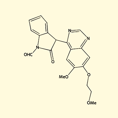 COCCOc1cc2ncnc(C3C(=O)N(C=O)c4ccccc43)c2cc1OC